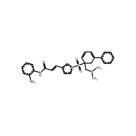 CN(C)CC1(S(=O)(=O)n2ccc(C=CC(=O)Nc3ccccc3N)c2)C=CC=C(c2ccccc2)C1